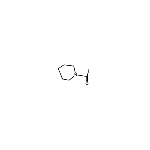 O=C(F)N1CCCCC1